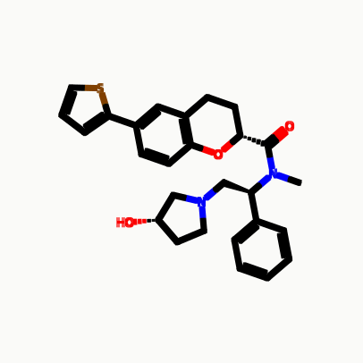 CN(C(=O)[C@H]1CCc2cc(-c3cccs3)ccc2O1)[C@H](CN1CC[C@H](O)C1)c1ccccc1